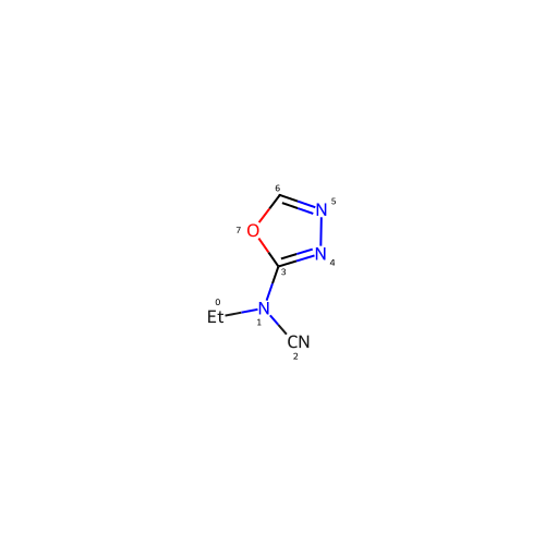 CCN(C#N)c1nnco1